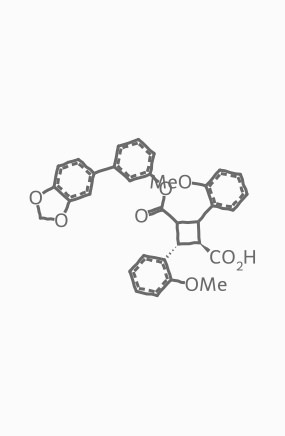 COc1ccccc1C1C(C(=O)Oc2cccc(-c3ccc4c(c3)OCO4)c2)[C@@H](c2ccccc2OC)[C@@H]1C(=O)O